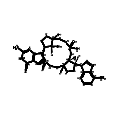 Nc1nc2c(ncn2[C@@]23CS[C@H](COP(=O)(S)O[C@@H]4[C@@H](COP(=O)(S)O2)OC[C@]4(F)n2cnc4c(N)ccnc42)[C@@H]3F)c(=O)[nH]1